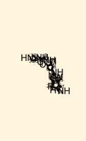 C[C@@H](NC(=O)c1ccc(Nc2nccn3c(-c4c[nH]nc4C(F)(F)F)cnc23)cc1Cl)C(=O)N[C@@H]1CCNC1